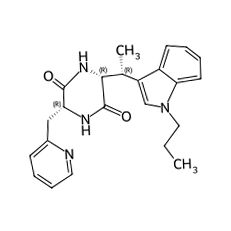 CCCn1cc([C@@H](C)[C@H]2NC(=O)[C@@H](Cc3ccccn3)NC2=O)c2ccccc21